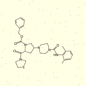 Cc1cccc(C)c1NC(=O)N1CCN(C2CC(C(=O)N3CCSC3)N(C(=O)OCc3ccccc3)C2)CC1